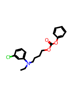 CCN(CCCCOC(=O)Oc1ccccc1)c1cccc(Cl)c1